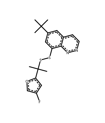 CC(C)(C)c1cc(SSC(C)(C)c2cc(F)co2)c2nnccc2c1